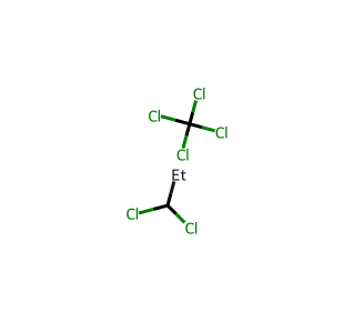 CCC(Cl)Cl.ClC(Cl)(Cl)Cl